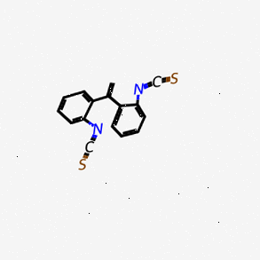 C=C(c1ccccc1N=C=S)c1ccccc1N=C=S